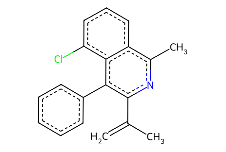 C=C(C)c1nc(C)c2cccc(Cl)c2c1-c1ccccc1